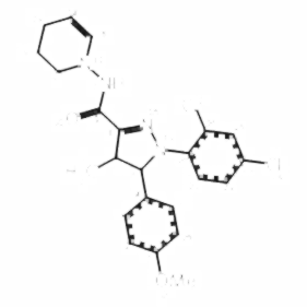 COc1ccc(C2C(C)C(C(=O)NN3C=CCCC3)=NN2c2ccc(Cl)cc2Cl)cc1